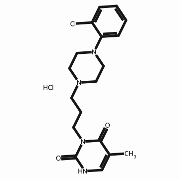 Cc1c[nH]c(=O)n(CCCN2CCN(c3ccccc3Cl)CC2)c1=O.Cl